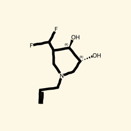 C=CCN1CC(C(F)F)[C@@H](O)[C@H](O)C1